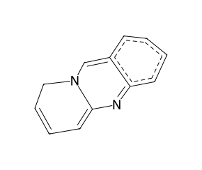 C1=CCN2C=c3ccccc3=NC2=C1